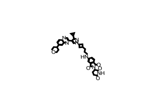 O=C1CCC(N2C(=O)c3ccc(NCCCC4CC(n5cc(-c6cnc7ccc(C8CCOCC8)cc7n6)c(C6CC6)n5)C4)cc3C2=O)C(=O)N1